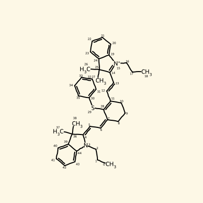 CCCN1/C(=C\C=C2\CCCC(/C=C/C3=[N+](CCC)c4ccccc4C3(C)C)=C2Sc2ccccc2)C(C)(C)c2ccccc21